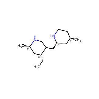 CC[C@@H]1C[C@@H](C)NCC1C[C@@H]1C[C@H](C)CCN1